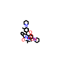 Cc1cc2c(cc1N1CCCCC1)Oc1cc(N3CCCCC3)c(C)cc1C21c2ccccc2C(=O)N1N(C(=O)O)C(C)(C)C